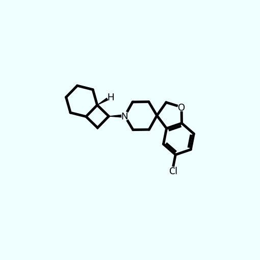 Clc1ccc2c(c1)C1(CCN([C@H]3CC4CCCC[C@@H]43)CC1)CO2